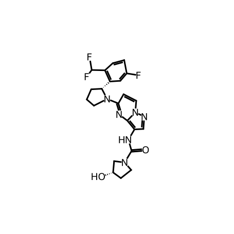 O=C(Nc1cnn2ccc(N3CCC[C@@H]3c3cc(F)ccc3C(F)F)nc12)N1CC[C@H](O)C1